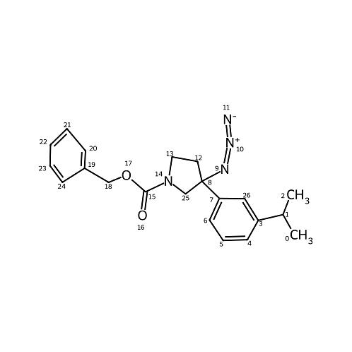 CC(C)c1cccc(C2(N=[N+]=[N-])CCN(C(=O)OCc3ccccc3)C2)c1